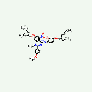 C=N/C(=N\C(=N/Cc1ccc(OCC(CC)CCCC)cc1O)c1ccc(OCC(CC)CCCC)cc1N=O)c1ccc(OC)cc1